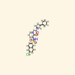 O=C(CN1CCC[C@H](NS(=O)(=O)c2ccc3cc(Cl)ccc3c2)C1=O)N1CCC(c2ccccc2)C1